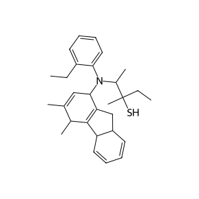 CCc1ccccc1N(C1C=C(C)C(C)C2=C1CC1C=CC=CC21)C(C)C(C)(S)CC